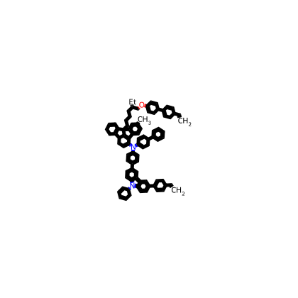 C=CC1C=CC(c2ccc3c(c2)c2cc(-c4ccc(N(C5=CCC(c6ccccc6)C=C5)C5=CCC6C7=C(C=CCC7)C7(CCCCC(CC)COC8=CCC(C9=CCC(C=C)C=C9)C=C8)C6=C5c5ccc(C)cc57)cc4)ccc2n3C2C=CC=CC2)=CC1